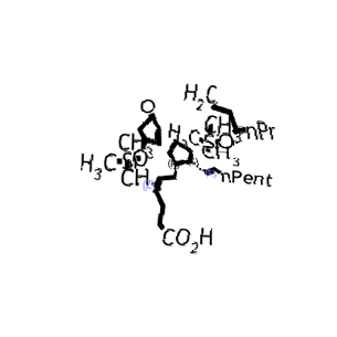 C=CCC(CCC)O[Si](C)(C)C.CCCCC/C=C/[C@H]1CCC[C@@H]1C/C=C\CCC(=O)O.C[Si](C)(C)OC1C=CC(=O)C1